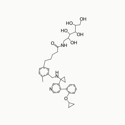 Cc1ccc(CCCCC(=O)NCC(O)C(O)C(O)C(O)CO)cc1CNC1(c2cnccc2-c2ccccc2OC2CC2)CC1